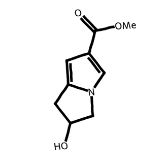 COC(=O)c1cc2n(c1)CC(O)C2